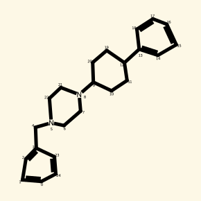 c1ccc(CN2CCN(C3CCC(c4ccccc4)CC3)CC2)cc1